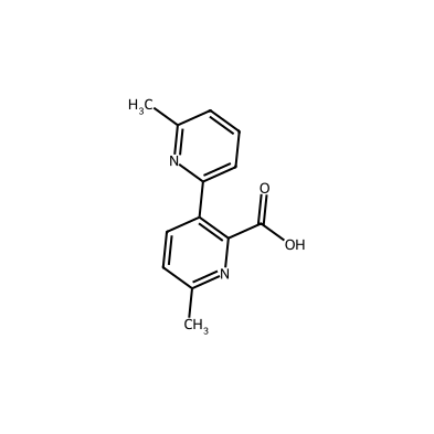 Cc1cccc(-c2ccc(C)nc2C(=O)O)n1